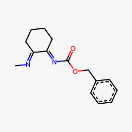 C/N=C1\CCCC\C1=N/C(=O)OCc1ccccc1